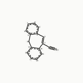 N#CC1=Cc2ccccc2[CH]c2ccccc21